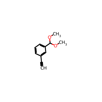 C#Cc1cccc(C(OC)OC)c1